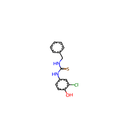 Oc1ccc(NC(=S)NCc2ccccc2)cc1Cl